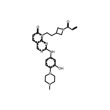 C=CC(=O)N1CC(CCn2c(=O)ccc3cnc(Nc4ccc(N5CCN(C)CC5)c(O)c4)nc32)C1